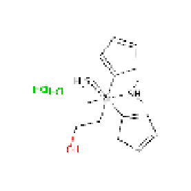 C[SiH](C)[Zr]([CH3])(=[SiH2])([CH2]CO)([C]1=CC=CC1)[C]1=CC=CC1.Cl.Cl